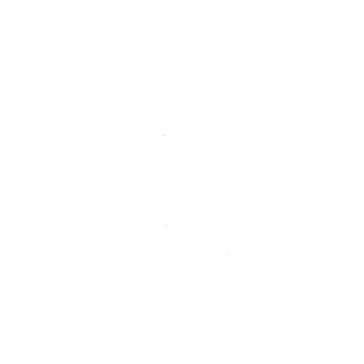 COCC(C)(COCCC(=O)C(C)(CO)COCC(F)(F)C(F)(F)F)COCC(F)(F)C(F)(F)F